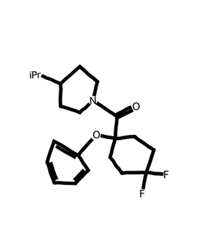 CC(C)C1CCN(C(=O)C2(Oc3ccccc3)CCC(F)(F)CC2)CC1